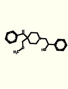 COCC1(Nc2ccccc2)CCN(CC(O)c2ccccc2)CC1